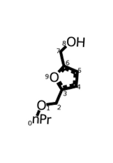 CCCOCc1ccc(CO)o1